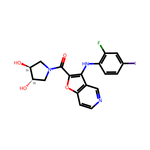 O=C(c1oc2ccncc2c1Nc1ccc(I)cc1F)N1C[C@H](O)[C@@H](O)C1